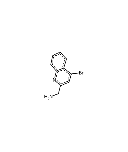 NCc1cc(Br)c2ccccc2n1